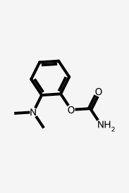 CN(C)c1ccccc1OC(N)=O